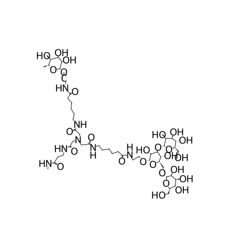 CNC(=O)CCNC(=O)CN(CC(=O)NCCCCCC(=O)NCCO[C@@H]1O[C@@H](C)[C@@H](O)[C@@H](O)[C@@H]1O)CC(=O)NCCCCCC(=O)NCCO[C@H]1O[C@H](CO[C@H]2O[C@H](CO)[C@@H](O)[C@H](O)[C@@H]2O)[C@@H](O)[C@H](O[C@H]2O[C@H](CO)[C@@H](O)[C@H](O)[C@@H]2O)[C@@H]1O